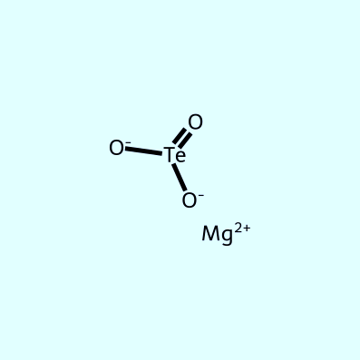 O=[Te]([O-])[O-].[Mg+2]